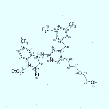 CCOC(=O)N1c2ccc(C(F)(F)F)cc2[C@@H](Nc2ncc(OCCOCCO)c(Cc3cc(C(F)(F)F)cc(C(F)(F)F)c3)n2)C[C@H]1CC